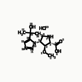 CO[C@@H]1[C@@H](C(=O)O)NC[C@H]1n1nncc1C(C)(C)O.Cl